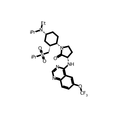 CCN(C(C)C)[C@@H]1CC[C@H](N2CC[C@H](Nc3ncnc4ccc(OC(F)(F)F)cc34)C2=O)[C@H](CS(=O)(=O)C(C)C)C1